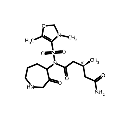 CC1=C(S(=O)(=O)N(C(=O)C[C@@H](C)CC(N)=O)C2CCCNCC2=O)N(C)CO1